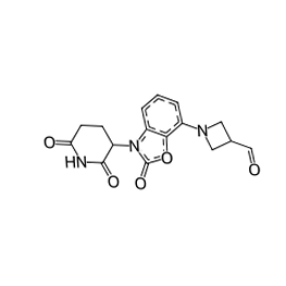 O=CC1CN(c2cccc3c2oc(=O)n3C2CCC(=O)NC2=O)C1